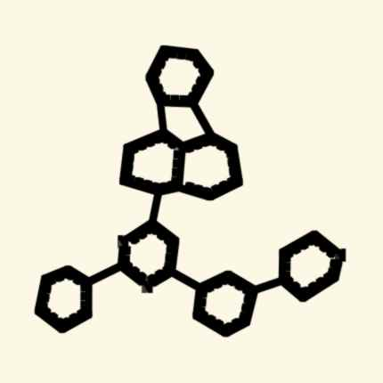 c1ccc(-c2nc(-c3cccc(-c4ccncc4)c3)cc(-c3ccc4c5c(cccc35)-c3ccccc3-4)n2)cc1